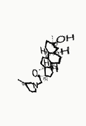 C[C@@H]1CCN(CC(=O)[C@H]2CC[C@H]3[C@@H]4CC[C@@H]5C[C@](C)(O)CC[C@@H]5[C@H]4CC[C@]23C)C1